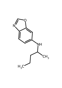 CCCC(C)Nc1ccc2ncoc2c1